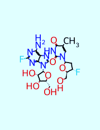 Cc1cn([C@H]2C[C@H](F)[C@@H](CO)O2)c(=O)[nH]c1=O.Nc1nc(F)nc2c1ncn2[C@@H]1O[C@H](CO)[C@@H](O)[C@@H]1O